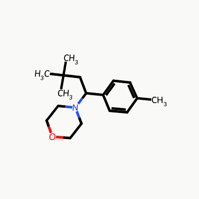 Cc1ccc(C(CC(C)(C)C)N2CCOCC2)cc1